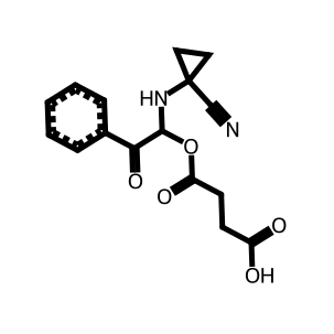 N#CC1(NC(OC(=O)CCC(=O)O)C(=O)c2ccccc2)CC1